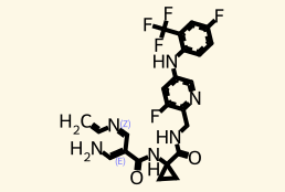 C=C/N=C\C(=C/N)C(=O)NC1(C(=O)NCc2ncc(Nc3ccc(F)cc3C(F)(F)F)cc2F)CC1